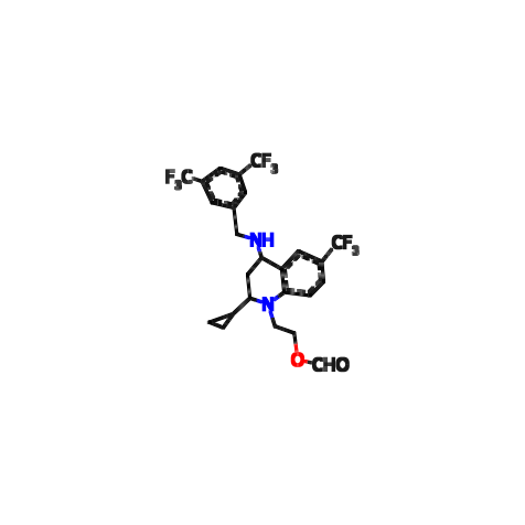 O=COCCN1c2ccc(C(F)(F)F)cc2C(NCc2cc(C(F)(F)F)cc(C(F)(F)F)c2)CC1C1CC1